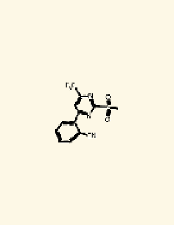 CS(=O)(=O)c1nc(-c2ccccc2C#N)cc(C(F)(F)F)n1